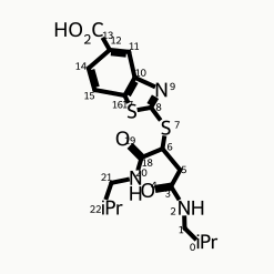 CC(C)CNC(=O)CC(Sc1nc2cc(C(=O)O)ccc2s1)C(=O)NCC(C)C